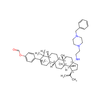 C=C(C)[C@@H]1CC[C@]2(NCCN3CCN(Cc4ccccc4)CC3)CC[C@]3(C)[C@H](CC[C@@H]4[C@@]5(C)CC=C(c6ccc(OC=O)cc6)C(C)(C)[C@@H]5CC[C@]43C)[C@@H]12